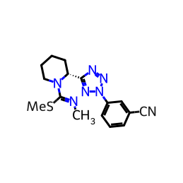 CN=C(SC)N1CCCC[C@@H]1c1nnn(-c2cccc(C#N)c2)n1